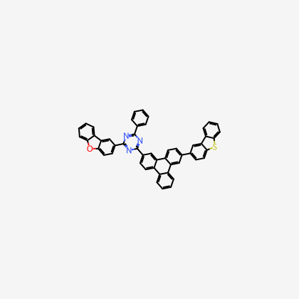 c1ccc(-c2nc(-c3ccc4oc5ccccc5c4c3)nc(-c3ccc4c5ccccc5c5cc(-c6ccc7sc8ccccc8c7c6)ccc5c4c3)n2)cc1